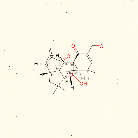 C=C1C(=O)[C@@]23[C@@H]4CC(C)(C)[C@]25OC[C@]2(C(=O)C(C=O)=CC(C)(C)[C@H]2[C@@H]5O)[C@@H]3CC[C@@H]14